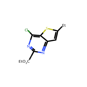 CCOC(=O)c1nc(Cl)c2sc(CC)cc2n1